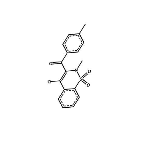 Cc1ccc(C(=O)C2=C([O])c3ccccc3S(=O)(=O)N2C)cc1